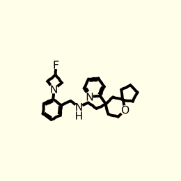 FC1CN(c2ccccc2CNCCC2(c3ccccn3)CCOC3(CCCC3)C2)C1